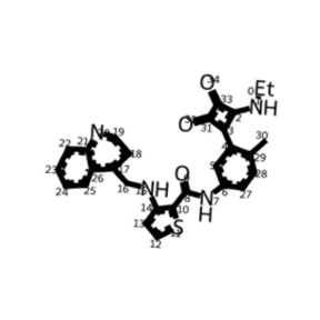 CCNc1c(-c2cc(NC(=O)c3sccc3NCc3ccnc4ccccc34)ccc2C)c(=O)c1=O